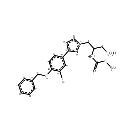 CC(C)(C)OC(=O)NC(CC(=O)O)Cn1nnc(-c2ccc(OCc3ccccc3)c(F)c2)n1